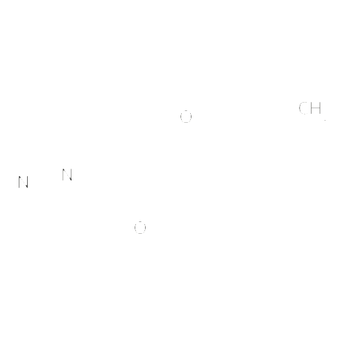 C=CCOC1COc2ccnn2C1